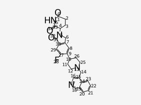 O=C1CCC(N2Cc3cc(C4CCN(Cc5cncc6ccccc56)CC4)c(F)cc3C2=O)C(=O)N1